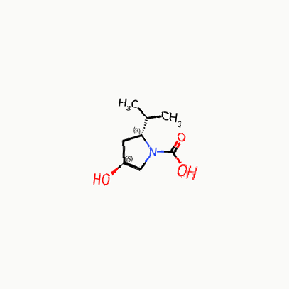 CC(C)[C@H]1C[C@H](O)CN1C(=O)O